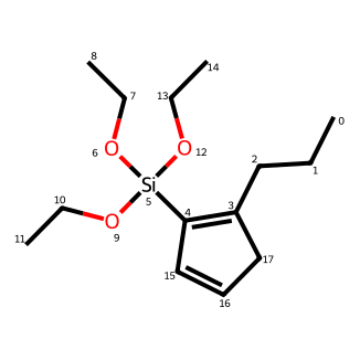 CCCC1=C([Si](OCC)(OCC)OCC)C=CC1